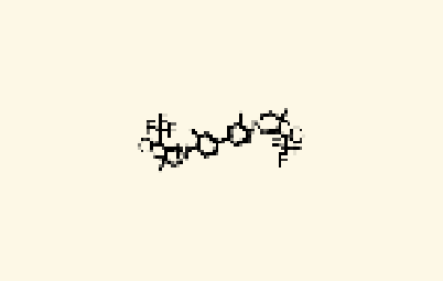 Cc1cc(-c2ccc(N3C=C(C(=O)C(F)(F)F)C(C)(C)CC3)c(C)c2)ccc1N1C=C(C(=O)C(F)(F)F)C(C)(C)CC1